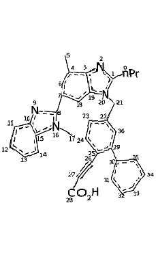 CCCc1nc2c(C)cc(-c3nc4ccccc4n3C)cc2n1Cc1ccc(C#CC(=O)O)c(-c2ccccc2)c1